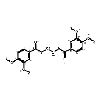 COc1ccc(C(=O)CSSCC(=O)c2ccc(OC)c(OC)c2)cc1OC